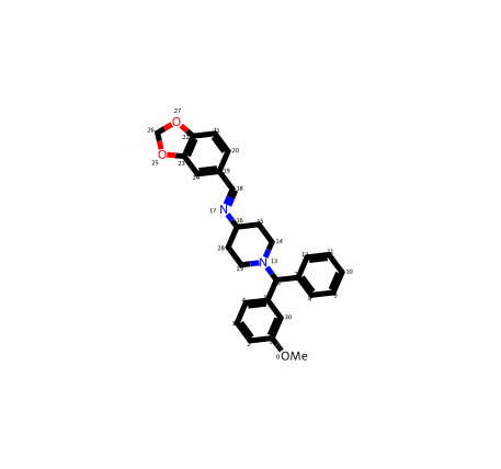 COc1cccc(C(c2ccccc2)N2CCC(N=Cc3ccc4c(c3)OCO4)CC2)c1